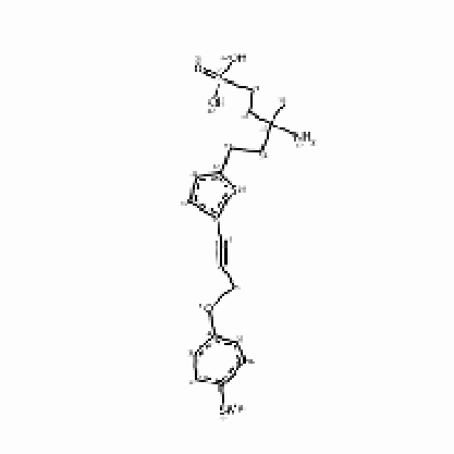 CSc1ccc(OCC#Cc2ccc(CCC(C)(N)CCP(=O)(O)O)s2)cc1